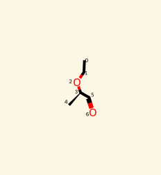 CCO[C@H](C)C=O